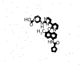 Cc1ccc2c(NC(=O)C3CCCC3)cccc2c1Oc1ncccc1-c1ccnc(N[C@H]2CCCN(C(=O)O)C2)n1